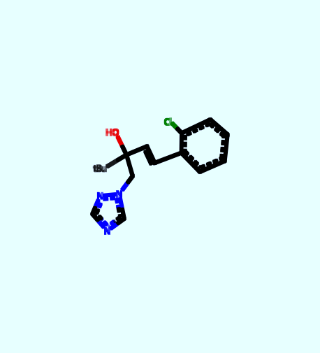 CC(C)(C)C(O)(/C=C/c1ccccc1Cl)Cn1cncn1